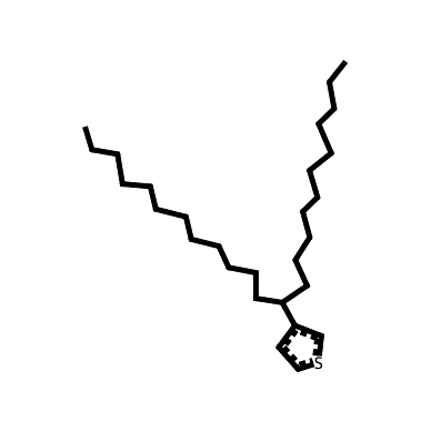 CCCCCCCCCCCCC(CCCCCCCCCCC)c1ccsc1